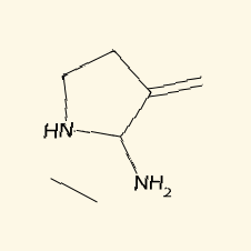 C=C1CCNC1N.CC